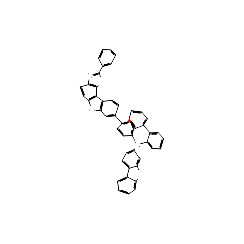 c1ccc(-c2nc3ccc4oc5cc(-c6ccc(N(c7ccc8c(c7)sc7ccccc78)c7ccccc7-c7ccccc7)cc6)ccc5c4c3o2)cc1